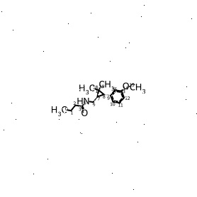 CCCC(=O)NC[C@@H]1[C@@H](c2cccc(OC)c2)C1(C)C